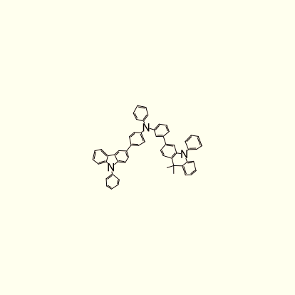 CC1(C)c2ccccc2N(c2ccccc2)c2cc(-c3cccc(N(c4ccccc4)c4ccc(-c5ccc6c(c5)c5ccccc5n6-c5ccccc5)cc4)c3)ccc21